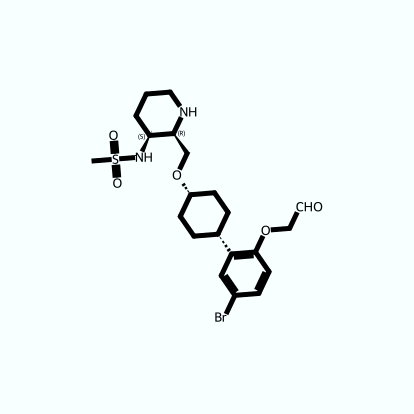 CS(=O)(=O)N[C@H]1CCCN[C@H]1CO[C@H]1CC[C@@H](c2cc(Br)ccc2OCC=O)CC1